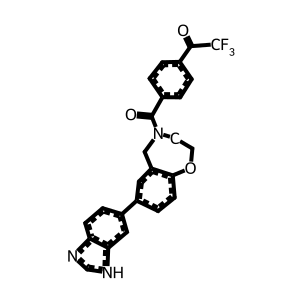 O=C(c1ccc(C(=O)C(F)(F)F)cc1)N1CCOc2ccc(-c3ccc4nc[nH]c4c3)cc2C1